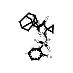 COC(=O)C12CC3CC(C1)C(NC(=O)C1(CNS(=O)(=O)c4ccccc4F)CC1)C(C3)C2